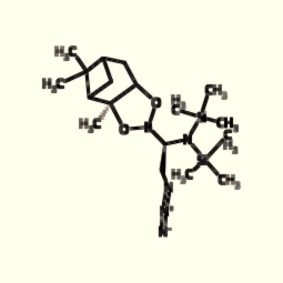 CC1(C)C2CC3OB([C@H](CN=[N+]=[N-])N([Si](C)(C)C)[Si](C)(C)C)O[C@@]3(C)C1C2